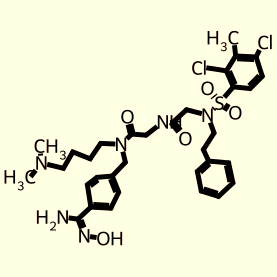 Cc1c(Cl)ccc(S(=O)(=O)N(CCc2ccccc2)CC(=O)NCC(=O)N(CCCCN(C)C)Cc2ccc(/C(N)=N\O)cc2)c1Cl